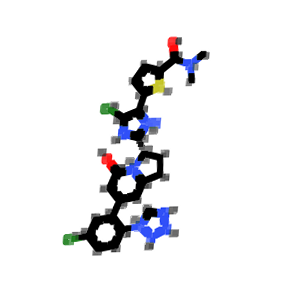 CN(C)C(=O)c1ccc(-c2[nH]c([C@@H]3CCc4cc(-c5cc(Cl)ccc5-n5cnnn5)cc(=O)n43)nc2Cl)s1